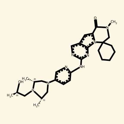 C[C@@H]1CN(c2ccc(Nc3ncc4cc5n(c4n3)C3(CCCCC3)CN(C)C5=O)nc2)C[C@H](C)N1C[C@@H](C)O